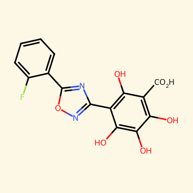 O=C(O)c1c(O)c(O)c(O)c(-c2noc(-c3ccccc3F)n2)c1O